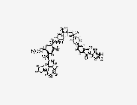 COc1cc(C(=O)NC2CCN(C(=O)C(C)(C)CC(C)(C)N3CCN(c4ccc5c(c4)C(=O)N(C4CCC(=O)NC4=O)C5=O)CC3)CC2)c(F)cc1Nc1cc2c(cn1)N(C)C(=O)C(F)(F)CN2C1CCCC1